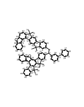 CC1(C)c2cc(CC(c3cccc(-c4ccccc4)c3)c3ccc4c(c3)C(C)(C)c3c5c(c6c(oc7ccccc76)c3-4)-c3ccccc3C5(C)C)ccc2-c2cc3c(cc21)-c1c(ccc2oc4ccccc4c12)C3(C)C